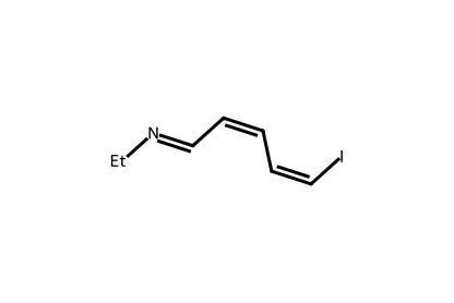 CC/N=C/C=C\C=C/I